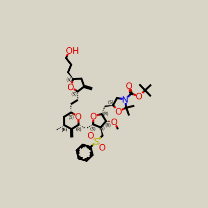 C=C1C[C@H](CCCO)O[C@H]1CC[C@H]1C[C@@H](C)C(=C)[C@@H](C[C@@H]2O[C@H](C[C@H]3CN(C(=O)OC(C)(C)C)C(C)(C)O3)[C@H](OC)[C@H]2CS(=O)(=O)c2ccccc2)O1